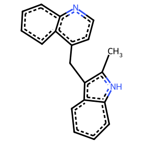 Cc1[nH]c2ccccc2c1Cc1ccnc2ccccc12